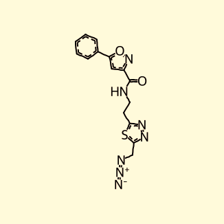 [N-]=[N+]=NCc1nnc(CCNC(=O)c2cc(-c3ccccc3)on2)s1